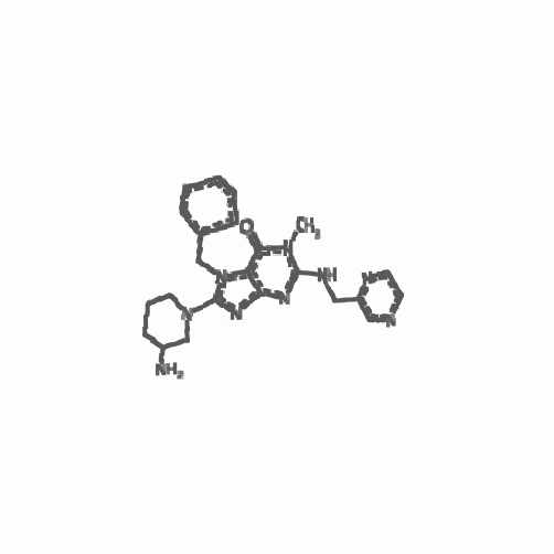 Cn1c(NCc2cnccn2)nc2nc(N3CCCC(N)C3)n(Cc3ccccc3)c2c1=O